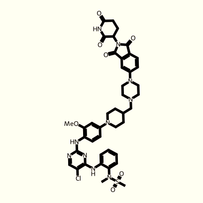 COc1cc(N2CCC(CN3CCN(c4ccc5c(c4)C(=O)N(C4CCC(=O)NC4=O)C5=O)CC3)CC2)ccc1Nc1ncc(Cl)c(Nc2ccccc2N(C)S(C)(=O)=O)n1